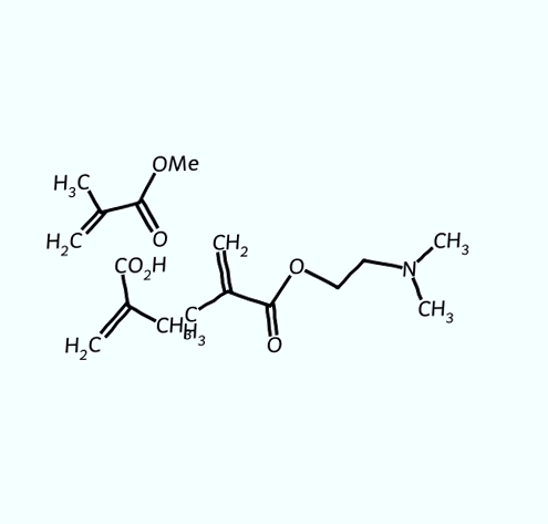 C=C(C)C(=O)O.C=C(C)C(=O)OC.C=C(C)C(=O)OCCN(C)C